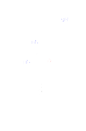 O=C(Nc1ccccc1)NC1CNC1